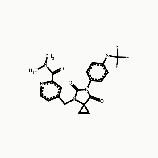 CN(C)C(=O)c1cc(CN2C(=O)N(c3ccc(SC(F)(F)F)cc3)C(=O)C23CC3)ccn1